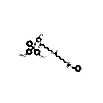 COc1ccc(C(OC[C@@H]2C[C@@H](O)CN2C(=O)CCCCCNC(=O)CCCCCNC(=O)OCc2ccccc2)(c2ccccc2)c2ccc(OC)cc2)cc1